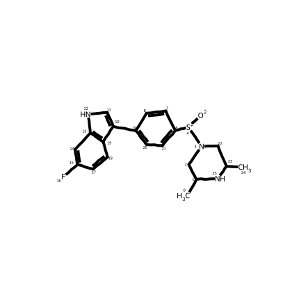 CC1CN([S+]([O-])c2ccc(-c3c[nH]c4cc(F)ccc34)cc2)CC(C)N1